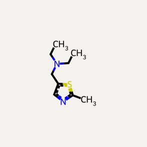 CCN(CC)Cc1cnc(C)s1